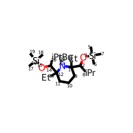 CCC1(C(O[Si](C)(C)C)C(C)C)CCCC(CC)(C(O[Si](C)(C)C)C(C)C)N1C(C)(C)C